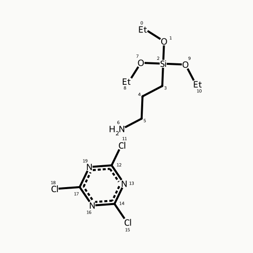 CCO[Si](CCCN)(OCC)OCC.Clc1nc(Cl)nc(Cl)n1